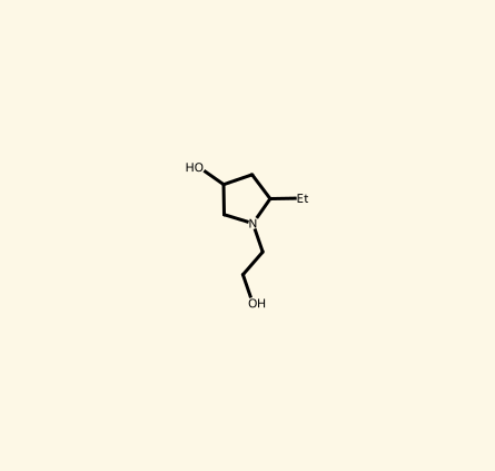 CCC1CC(O)CN1CCO